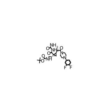 C[C@H](C(=O)N1CCN(c2ccc(F)c(F)c2)CC1)C1C[C@@]1(CCNC(=O)OC(C)(C)C)C(=O)NC(N)=O